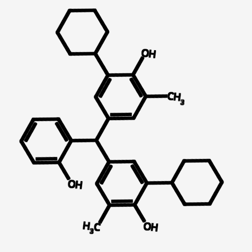 Cc1cc(C(c2cc(C)c(O)c(C3CCCCC3)c2)c2ccccc2O)cc(C2CCCCC2)c1O